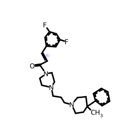 CC1(c2ccccc2)CCN(CCCN2CCN(C(=O)/C=C/c3cc(F)cc(F)c3)CC2)CC1